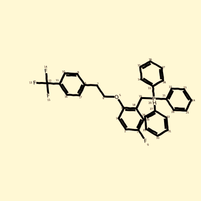 Fc1ccc(OCCc2ccc(C(F)(F)F)cc2)c(C[PH](c2ccccc2)(c2ccccc2)c2ccccc2)c1